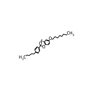 CCCCCCCCOc1ccc(OC(=O)c2ccc(CCCCC)cc2)c(F)c1